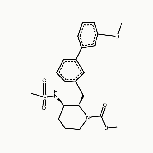 COC(=O)N1CCC[C@@H](NS(C)(=O)=O)[C@H]1Cc1cccc(-c2cccc(OC)c2)c1